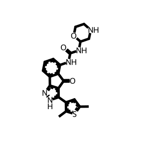 Cc1cc(-c2[nH]nc3c2C(=O)c2c(NC(=O)NC4CNCCO4)cccc2-3)c(C)s1